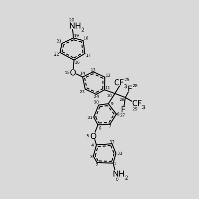 Nc1ccc(Oc2ccc(C(c3ccc(Oc4ccc(N)cc4)cc3)(C(F)(F)F)C(F)(F)C(F)(F)F)cc2)cc1